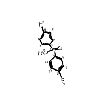 OP(=S)(c1ccc(F)cc1)c1ccc(F)cc1